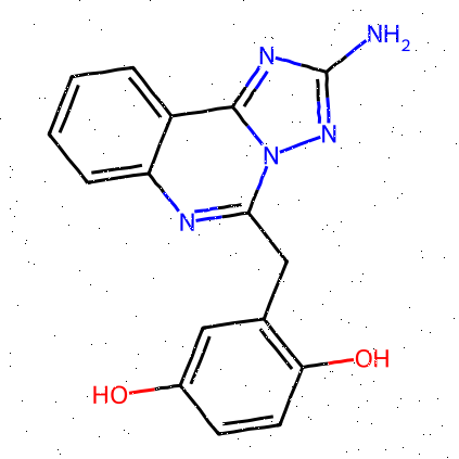 Nc1nc2c3ccccc3nc(Cc3cc(O)ccc3O)n2n1